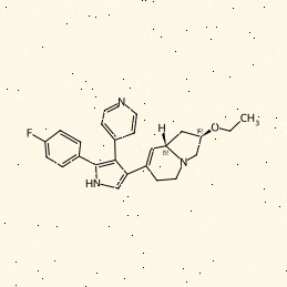 CCO[C@@H]1C[C@H]2C=C(c3c[nH]c(-c4ccc(F)cc4)c3-c3ccncc3)CCN2C1